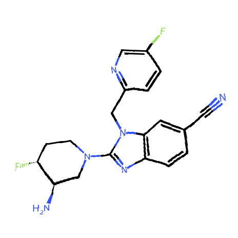 N#Cc1ccc2nc(N3CC[C@@H](F)[C@H](N)C3)n(Cc3ccc(F)cn3)c2c1